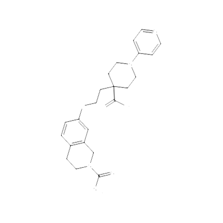 N=C(N)N1CCc2ccc(SCCC3(C(=O)O)CCN(c4ccncc4)CC3)cc2C1